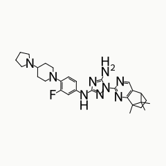 CC12CCC(c3cnc(-n4nc(Nc5ccc(N6CCC(N7CCCC7)CC6)c(F)c5)nc4N)nc31)C2(C)C